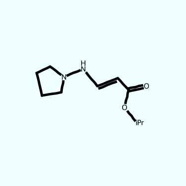 CC(C)OC(=O)C=CNN1CCCC1